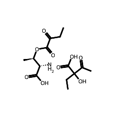 CCC(=O)C(=O)O[C@H](C)[C@H](N)C(=O)O.CCC(O)(C(C)=O)C(=O)O